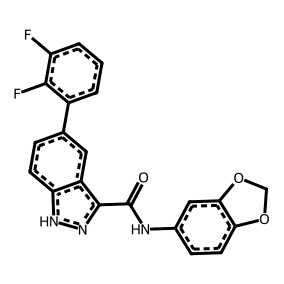 O=C(Nc1ccc2c(c1)OCO2)c1n[nH]c2ccc(-c3cccc(F)c3F)cc12